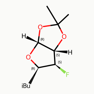 CCC(C)[C@H]1O[C@@H]2OC(C)(C)O[C@@H]2[C@H]1F